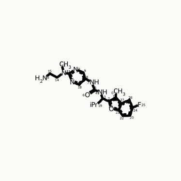 Cc1c(C(NC(=O)Nc2cnc(N(C)CCN)nc2)C(C)C)oc2ccc(F)cc12